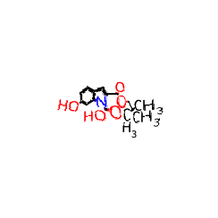 CC(C)(C)COC(=O)c1cc2ccc(O)cc2n1C(=O)O